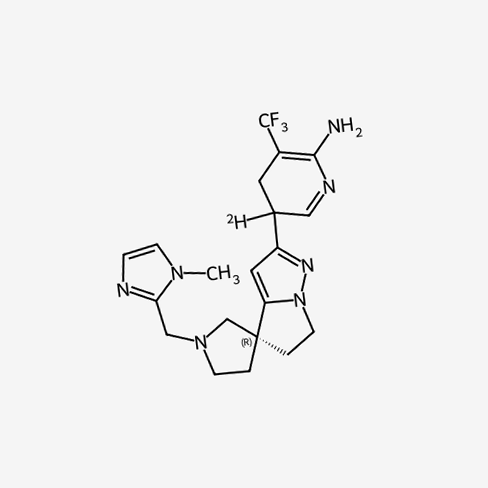 [2H]C1(c2cc3n(n2)CC[C@@]32CCN(Cc3nccn3C)C2)C=NC(N)=C(C(F)(F)F)C1